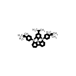 CC(C)c1cc2c3c(c1)N(c1ccc(C(C)(C)C)cc1)c1cccc4c1B3c1c-4cccc1N2c1ccc(C(C)(C)C)cc1